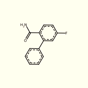 NC(=O)c1ccc(F)cc1-c1ccccc1